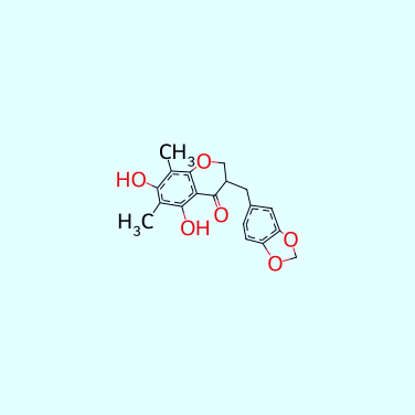 Cc1c(O)c(C)c2c(c1O)C(=O)C(Cc1ccc3c(c1)OCO3)CO2